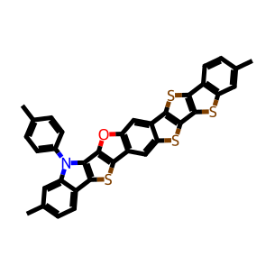 Cc1ccc(-n2c3cc(C)ccc3c3sc4c5cc6sc7c(sc8c9ccc(C)cc9sc87)c6cc5oc4c32)cc1